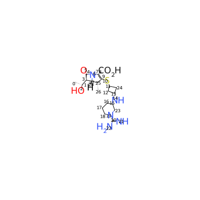 C[C@@H](O)[C@H]1C(=O)N2C(C(=O)O)=C(S[C@H]3C[C@@H](N[C@H]4CCCN(C(=N)N)C4)C3)[C@H](C)[C@H]12